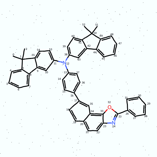 CC1(C)c2ccccc2-c2cc(N(c3ccc(-c4ccc5ccc6nc(-c7ccccc7)oc6c5c4)cc3)c3ccc4c(c3)-c3ccccc3C4(C)C)ccc21